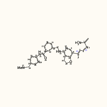 C=C(N)/N=C\C=C(/C)c1cnc(NCc2cccc(C(=O)Nc3ccc(CNC)cn3)c2)c2c1OCC2